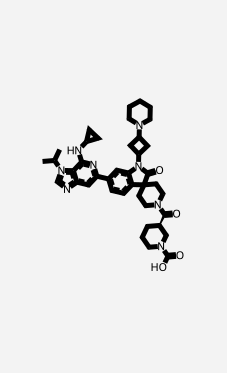 CC(C)n1cnc2cc(-c3ccc4c(c3)N(C3CC(N5CCCCC5)C3)C(=O)C43CCN(C(=O)[C@@H]4CCCN(C(=O)O)C4)CC3)nc(NC3CC3)c21